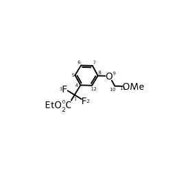 CCOC(=O)C(F)(F)c1cccc(OCOC)c1